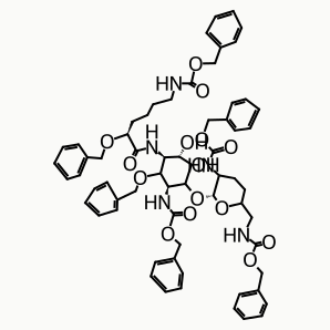 O=C(NCCCC[C@H](OCc1ccccc1)C(=O)N[C@@H]1C(OCc2ccccc2)[C@H](NC(=O)OCc2ccccc2)C(O[C@H]2OC(CNC(=O)OCc3ccccc3)CCC2NC(=O)OCc2ccccc2)C(O)[C@H]1O)OCc1ccccc1